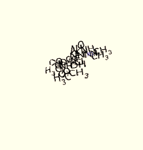 CC(C)OC(=O)[C@@H](C)NP(=O)(OC[C@H]1O[C@@H](n2cnc3c(=O)[nH]c(/N=C/N(C)C)nc32)[C@@](F)(Cl)[C@@H]1O)Oc1ccccc1